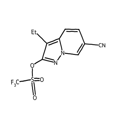 CCc1c(OS(=O)(=O)C(F)(F)F)nn2cc(C#N)ccc12